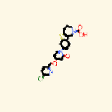 O=C(O)N1CCCc2sc3cc(-n4ccc(OCc5ccc(Cl)cn5)cc4=O)ccc3c2C1